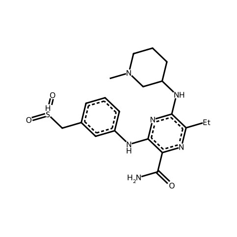 CCc1nc(C(N)=O)c(Nc2cccc(C[SH](=O)=O)c2)nc1NC1CCCN(C)C1